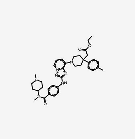 CCOC(=O)CC1(c2ccc(C)cc2)CCN(c2cccn3nc(Nc4ccc(C(=O)N(C)C5CCN(C)CC5)cc4)nc23)CC1